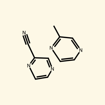 Cc1cnccn1.N#Cc1cnccn1